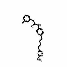 Cc1cccc(CC(=O)Nc2cnc(CCCCc3nnc(N)s3)cn2)c1